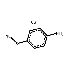 N#CSc1ccc(N)cc1.[Cu]